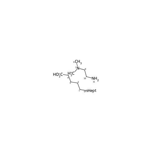 CCCCCCCCCCCC(=O)O.CN(C)CCN